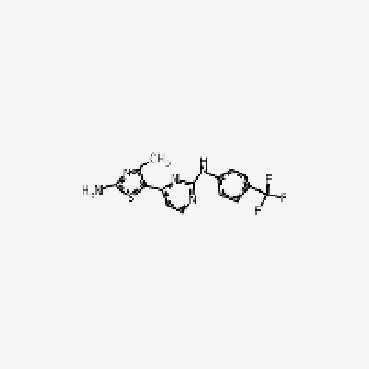 Cc1nc(N)sc1-c1ccnc(Nc2ccc(C(F)(F)F)cc2)n1